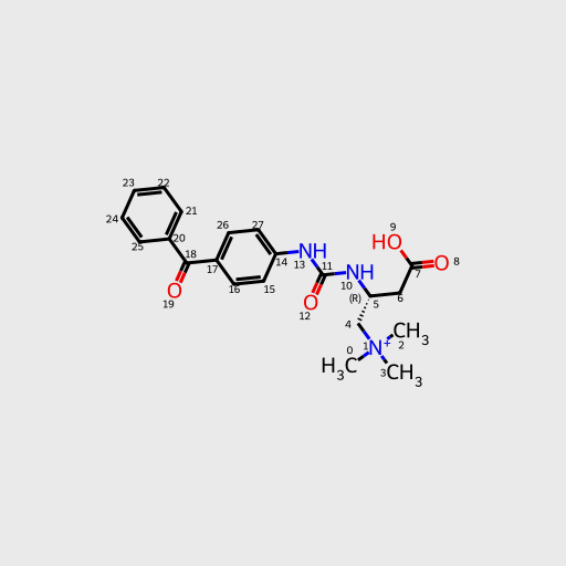 C[N+](C)(C)C[C@@H](CC(=O)O)NC(=O)Nc1ccc(C(=O)c2ccccc2)cc1